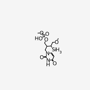 COCC([SiH3])C(COP(=O)(O)OC)Cn1ccc(=O)[nH]c1=O